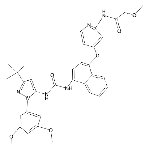 COCC(=O)Nc1cc(Oc2ccc(NC(=O)Nc3cc(C(C)(C)C)nn3-c3cc(OC)cc(OC)c3)c3ccccc23)ccn1